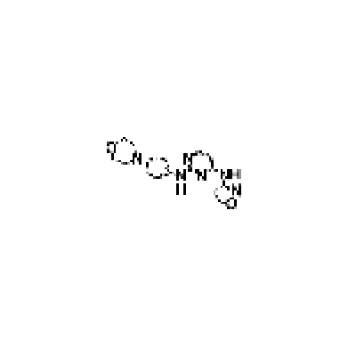 c1cc(NC2=NOCC2)nc(Nc2ccc(N3CCOCC3)cc2)n1